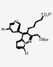 CCOC(=O)CCCCc1c(COC)nn2c(CC)ccc2c1-c1cncc(Br)c1